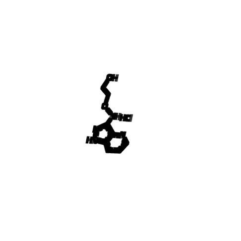 Cl.OCCONc1n[nH]c2cccnc12